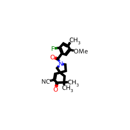 COc1cc(C(=O)N2CCC3(C=C(C#N)C(=O)C(C)(C)C3)C2)c(F)cc1C